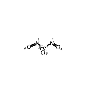 O=[N][Fe+][N]=O.[Cl-]